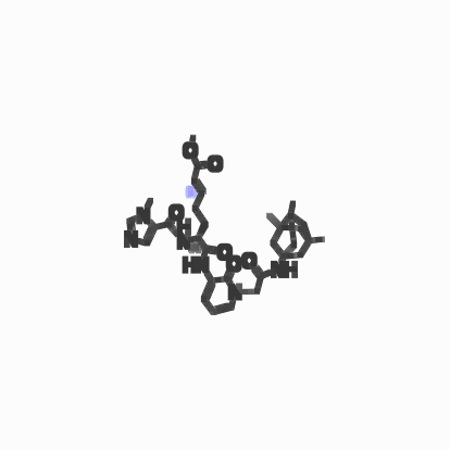 COC(=O)/C=C/CC[C@H](NC(=O)c1cncn1C)C(=O)Nc1cccn(CC(=O)NC23CC4(C)CC(C)(C2)C(C)(C4)C3)c1=O